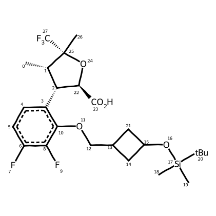 C[C@H]1[C@@H](c2ccc(F)c(F)c2OCC2CC(O[Si](C)(C)C(C)(C)C)C2)[C@H](C(=O)O)O[C@@]1(C)C(F)(F)F